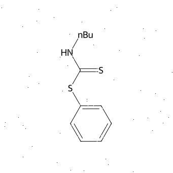 CCCCNC(=S)Sc1ccccc1